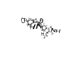 C[C@@H]1CNC[C@H]1c1ccc(NC(=O)c2ccc(Cl)cc2)cc1